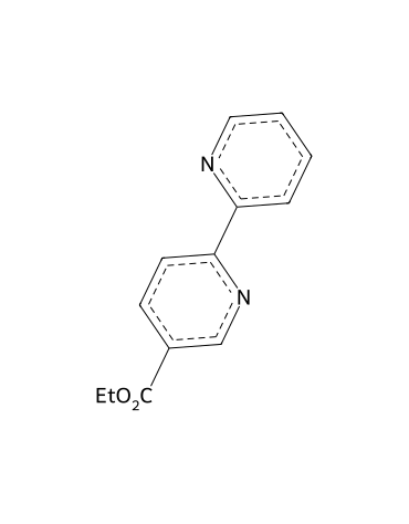 CCOC(=O)c1ccc(-c2ccccn2)nc1